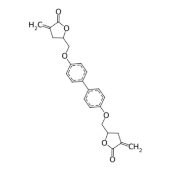 C=C1CC(COc2ccc(-c3ccc(OCC4CC(=C)C(=O)O4)cc3)cc2)OC1=O